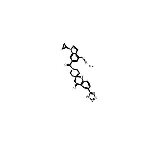 CCOc1cc(C(=O)N2CCC3(CC2)CC(=O)c2cc(-c4nnn[nH]4)ccc2O3)cc2c1ccn2C1CC1.[Na]